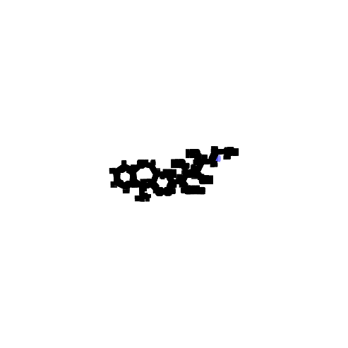 CO[C@@H](C(=O)NC1COc2ccccc2N(C(C)C)C1=O)[C@H](O)[C@@H](O)[C@H](O)/C=C/C(C)(C)C